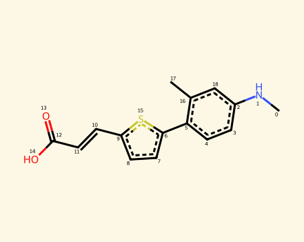 CNc1ccc(-c2ccc(/C=C/C(=O)O)s2)c(C)c1